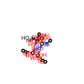 CCC[C@H](OC1C(OC(=O)c2ccccc2)[C@H](O[C@@H]2CC(C(=O)NCCNC(=O)C3CC(OCc4cc5ccccc5oc4=O)C(O)[C@H](O[C@@H]4OC(CO)[C@H](O)C(OCc5cc6ccccc6oc5=O)C4O)C3)CC(n3cc(-c4ccccc4)nn3)C2O[C@@H]2OC(C)[C@@H](O)C(O)C2O)OC(CO)[C@@H]1O)C(=O)O